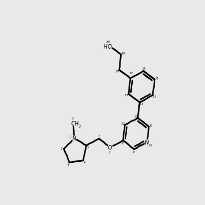 CN1CCCC1COc1cncc(-c2cccc(CCO)c2)c1